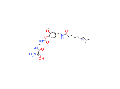 COc1cc(CNC(=O)CCCC/C=C/C(C)C)ccc1OC(=O)NCCN(C)C(=O)[C@@H](N)CO